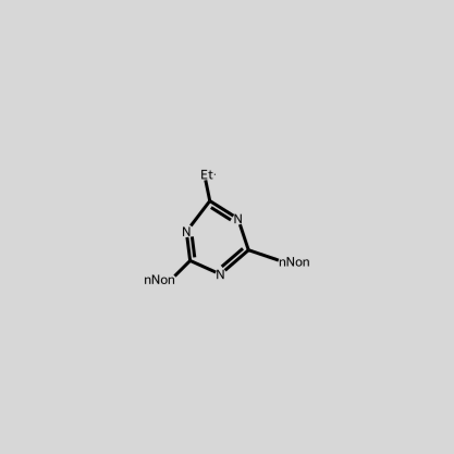 C[CH]c1nc(CCCCCCCCC)nc(CCCCCCCCC)n1